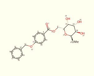 CO[C@H]1O[C@H](COC(=O)c2ccc(OCc3ccccc3)cc2)[C@H](O)[C@H](O)[C@H]1O